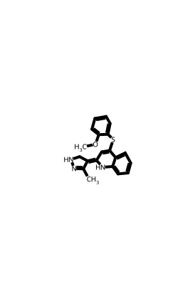 COc1ccccc1SC1=C/C(=C2\CNN=C2C)Nc2ccccc21